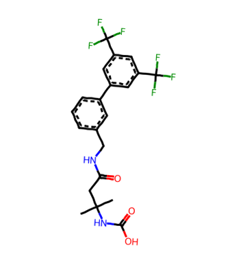 CC(C)(CC(=O)NCc1cccc(-c2cc(C(F)(F)F)cc(C(F)(F)F)c2)c1)NC(=O)O